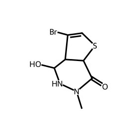 CN1NC(O)C2C(Br)=CSC2C1=O